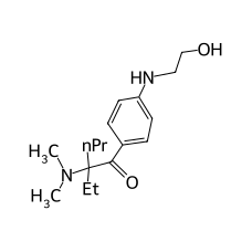 CCCC(CC)(C(=O)c1ccc(NCCO)cc1)N(C)C